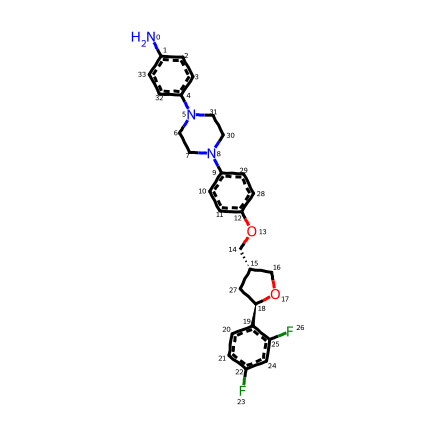 Nc1ccc(N2CCN(c3ccc(OC[C@@H]4CO[C@@H](c5ccc(F)cc5F)C4)cc3)CC2)cc1